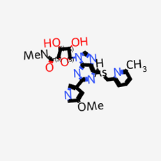 CNC(=O)[C@H]1O[C@H](n2cnc3c([AsH]Cc4cccc(C)n4)nc(-c4cncc(OC)c4)nc32)[C@@H](O)[C@@H]1O